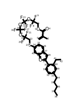 C=C(C)C(=O)OCC(F)(F)OC(F)(F)OC(F)(F)OC(F)(F)CSc1ccc2cc(-c3ccc(CCCCC)cc3CC)oc2c1